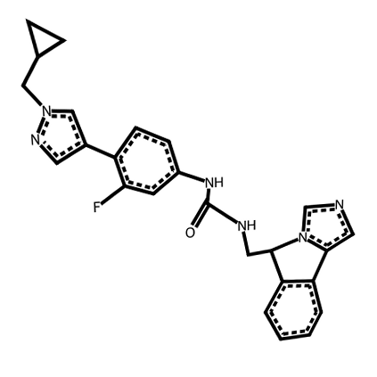 O=C(NCC1c2ccccc2-c2cncn21)Nc1ccc(-c2cnn(CC3CC3)c2)c(F)c1